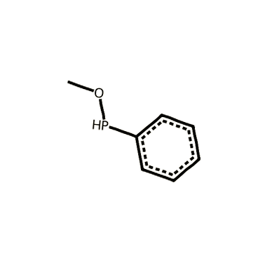 COPc1ccccc1